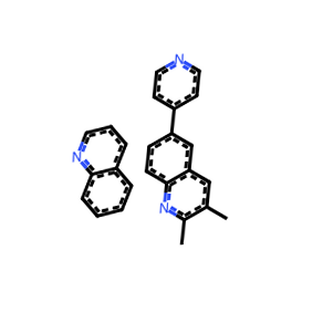 Cc1cc2cc(-c3ccncc3)ccc2nc1C.c1ccc2ncccc2c1